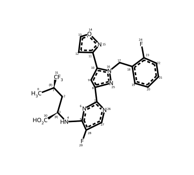 C[C@H](C[C@@H](Nc1nc(-c2cc(-c3ccon3)n(Cc3ccccc3F)n2)ncc1F)C(=O)O)C(F)(F)F